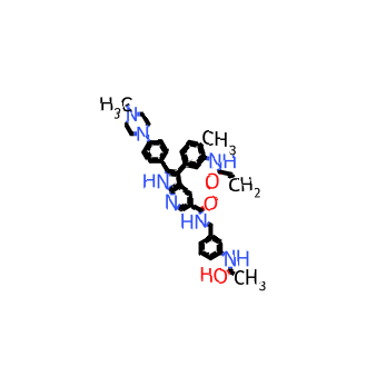 C=CC(=O)Nc1cc(-c2c(-c3ccc(N4CCN(C)CC4)cc3)[nH]c3ncc(C(=O)NCc4cccc(NC(C)O)c4)cc23)ccc1C